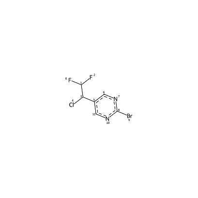 FC(F)C(Cl)c1cnc(Br)nc1